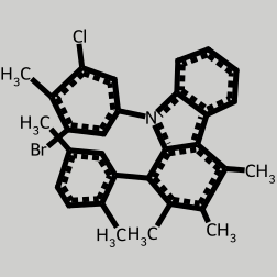 Cc1ccc(C)c(-c2c(C)c(C)c(C)c3c4ccccc4n(-c4cc(Cl)c(C)c(Br)c4)c23)c1